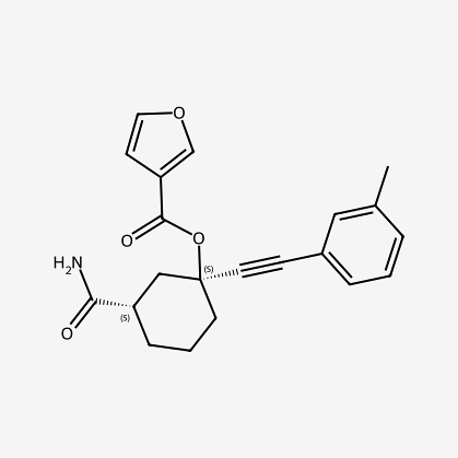 Cc1cccc(C#C[C@]2(OC(=O)c3ccoc3)CCC[C@H](C(N)=O)C2)c1